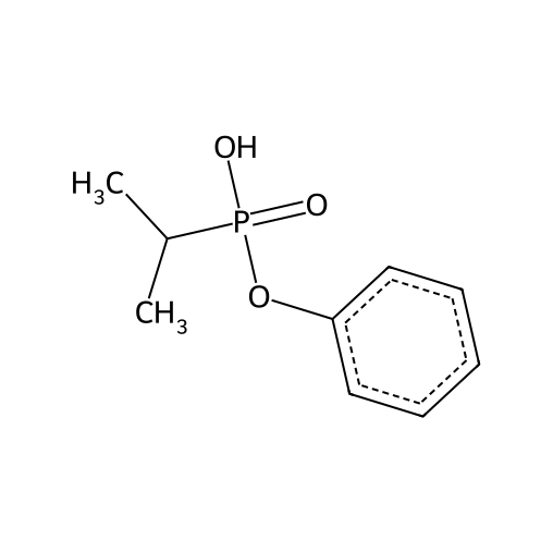 CC(C)P(=O)(O)Oc1ccccc1